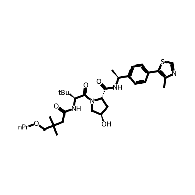 CCCOCC(C)(C)CC(=O)N[C@H](C(=O)N1C[C@H](O)C[C@H]1C(=O)N[C@@H](C)c1ccc(-c2scnc2C)cc1)C(C)(C)C